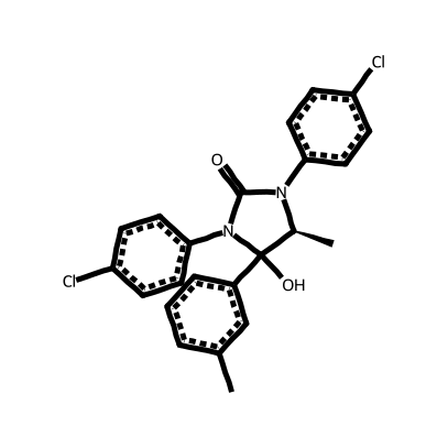 Cc1cccc(C2(O)[C@H](C)N(c3ccc(Cl)cc3)C(=O)N2c2ccc(Cl)cc2)c1